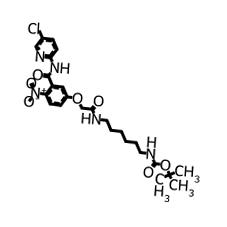 CC(C)(C)OC(=O)NCCCCCCNC(=O)COc1ccc([N+](=O)[O-])c(C(=O)Nc2ccc(Cl)cn2)c1